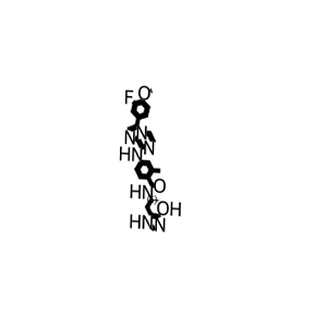 COc1ccc(-c2cnc3c(Nc4ccc(C(=O)N[C@H](CO)Cc5cnc[nH]5)c(C)c4)nccn23)cc1F